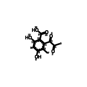 CC(=O)C(=O)c1c(C)c(O)cc(O)c1C(=O)O